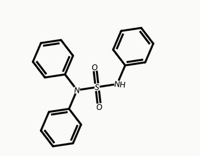 O=S(=O)(Nc1ccccc1)N(c1ccccc1)c1ccccc1